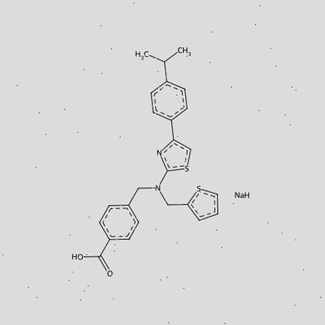 CC(C)c1ccc(-c2csc(N(Cc3ccc(C(=O)O)cc3)Cc3cccs3)n2)cc1.[NaH]